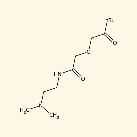 CN(C)CCNC(=O)COCC(=O)C(C)(C)C